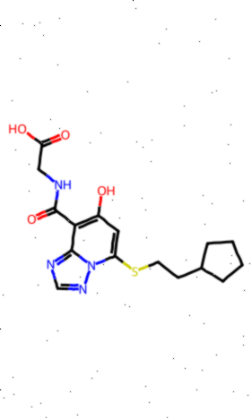 O=C(O)CNC(=O)c1c(O)cc(SCCC2CCCC2)n2ncnc12